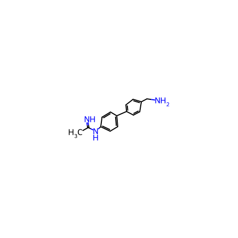 CC(=N)Nc1ccc(-c2ccc(CN)cc2)cc1